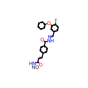 O=NNC(=O)/C=C/c1ccc(C(=O)N/N=C/c2ccc(F)c(Oc3ccccc3)c2)cc1